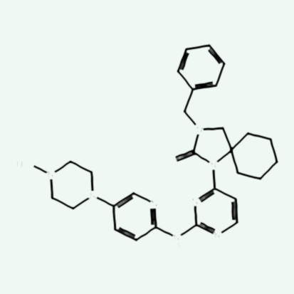 CN1CCN(c2ccc(Nc3nccc(N4C(=O)N(Cc5ccccc5)CC45CCCCC5)n3)nc2)CC1